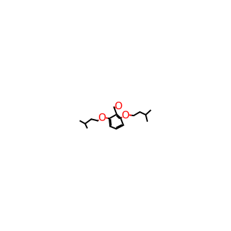 CC(C)CCOc1cccc(OCCC(C)C)c1C=O